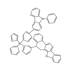 C1=CC=CC=1[Si](c1ccccc1)(c1ccc(-c2ccc3c(c2)c2ccccc2n3-c2ccccc2)cc1)c1cccc(C2Cc3c(ccc4c3oc3ccccc34)-c3ccccc32)c1